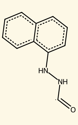 O=[C]NNc1cccc2ccccc12